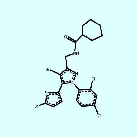 O=C(NCc1nn(-c2ccc(Cl)cc2Cl)c(-c2ccc(Br)[se]2)c1Br)C1CCCCC1